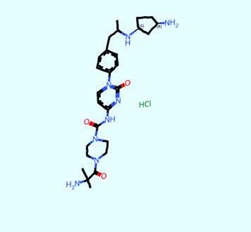 CC(Cc1ccc(-n2ccc(NC(=O)N3CCN(C(=O)C(C)(C)N)CC3)nc2=O)cc1)N[C@H]1CC[C@@H](N)C1.Cl